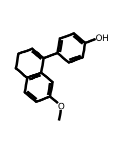 COc1ccc2c(c1)C(c1ccc(O)cc1)=CCC2